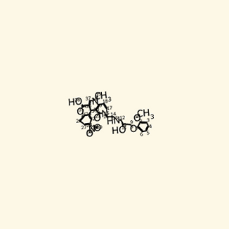 COc1ccccc1OCC(O)CNCCn1ccc2c(c1=O)C(c1cccc([N+](=O)[O-])c1)C(C(=O)O)=CN2C